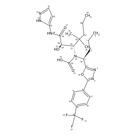 CCC[C@@H](c1nnc(-c2ccc(C(F)(F)F)cc2)o1)N(C(=O)O)[C@H]([C@@H](O)C(=O)Nc1ccn[nH]1)C(C)(C)CCC